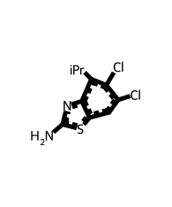 CC(C)c1c(Cl)c(Cl)cc2sc(N)nc12